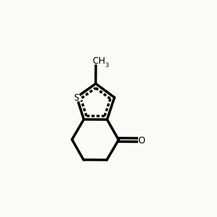 Cc1cc2c(s1)CCCC2=O